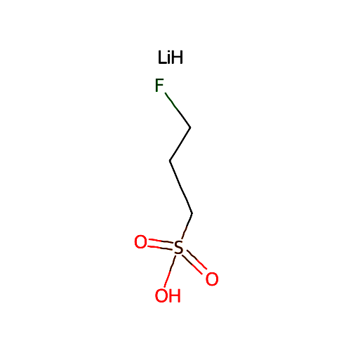 O=S(=O)(O)CCCF.[LiH]